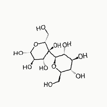 OC[C@H]1O[C@@H]([C@]2(O)[C@H](O)[C@@H](O)[C@H](O)O[C@@H]2CO)[C@H](O)[C@@H](O)[C@@H]1O